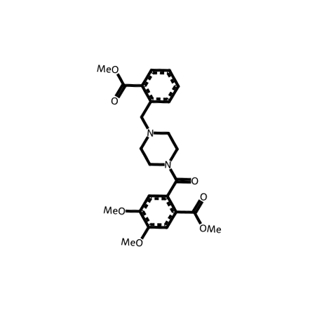 COC(=O)c1ccccc1CN1CCN(C(=O)c2cc(OC)c(OC)cc2C(=O)OC)CC1